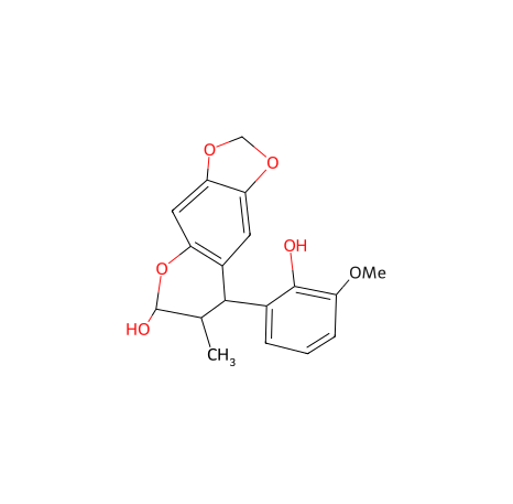 COc1cccc(C2c3cc4c(cc3OC(O)C2C)OCO4)c1O